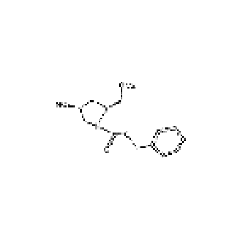 COC[C@@H]1C[C@H](O)CN1C(=O)OCc1ccccc1